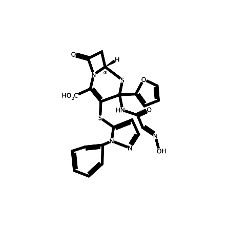 O=C(C=NO)NC1(c2ccco2)S[C@H]2CC(=O)N2C(C(=O)O)=C1Sc1ccnn1-c1ccccc1